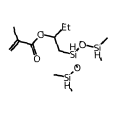 C=C(C)C(=O)OC(CC)C[SiH](O[SiH](C)C)O[SiH](C)C